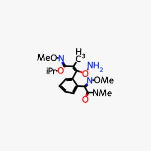 CNC(=O)C(=NOC)c1ccccc1C(ON)=C(C)C(=NOC)OC(C)C